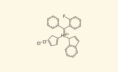 Fc1ccccc1[C](c1ccccc1)=[Hf+2]([C]1=CC=CC1)[CH]1C=Cc2ccccc21.[Cl-].[Cl-]